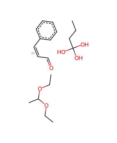 CCCC(O)(O)O.CCOC(C)OCC.O=C/C=C\c1ccccc1